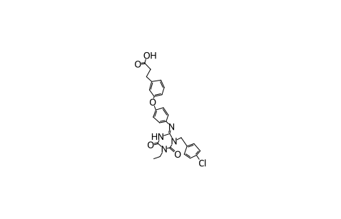 CCn1c(=O)[nH]/c(=N\c2ccc(Oc3cccc(CCC(=O)O)c3)cc2)n(Cc2ccc(Cl)cc2)c1=O